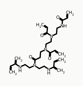 C=CC(=C)NCCN(CCNC(=C)C=C)C(=O)CCN(CCN(CCNC(=O)C=C)C(=O)C=C)C(=O)C=C